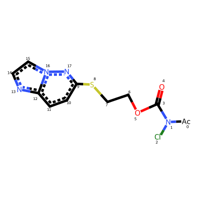 CC(=O)N(Cl)C(=O)OCCSc1ccc2nccn2n1